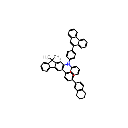 CC1(C)c2ccccc2-c2cc(-c3ccc(-c4ccc5c(c4)CCCC5)cc3)c(N(c3ccccc3)c3ccc(-c4cc5ccccc5c5ccccc45)cc3)cc21